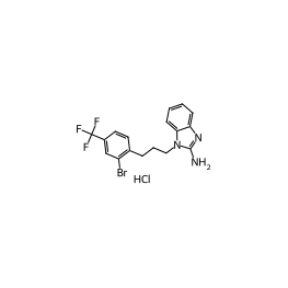 Cl.Nc1nc2ccccc2n1CCCc1ccc(C(F)(F)F)cc1Br